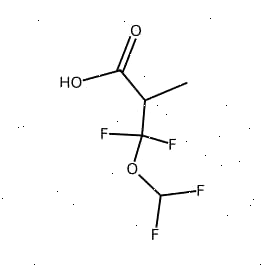 CC(C(=O)O)C(F)(F)OC(F)F